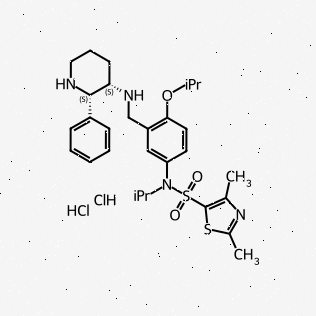 Cc1nc(C)c(S(=O)(=O)N(c2ccc(OC(C)C)c(CN[C@H]3CCCN[C@H]3c3ccccc3)c2)C(C)C)s1.Cl.Cl